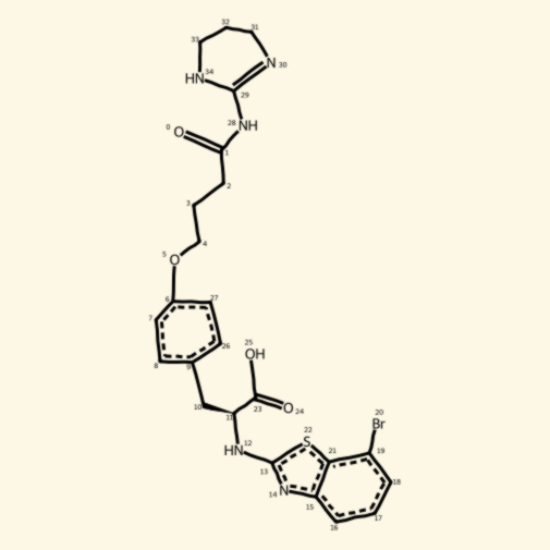 O=C(CCCOc1ccc(C[C@H](Nc2nc3cccc(Br)c3s2)C(=O)O)cc1)NC1=NCCCN1